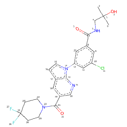 CC(C)(O)CNC(=O)c1cc(Cl)cc(-n2ccc3cc(C(=O)N4CCC(F)(F)CC4)cnc32)c1